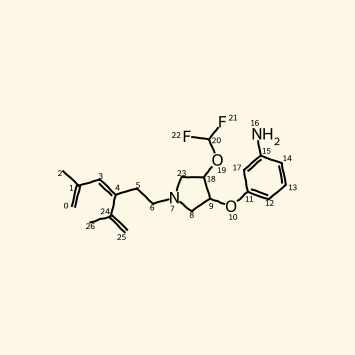 C=C(C)/C=C(/CCN1CC(Oc2cccc(N)c2)C(OC(F)F)C1)C(=C)C